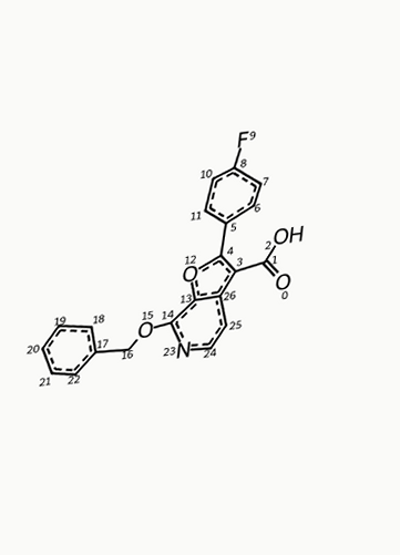 O=C(O)c1c(-c2ccc(F)cc2)oc2c(OCc3ccccc3)nccc12